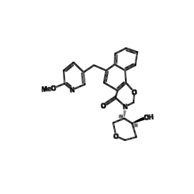 COc1ccc(Cc2cc3c(c4ccccc24)OCN([C@H]2COCC[C@@H]2O)C3=O)cn1